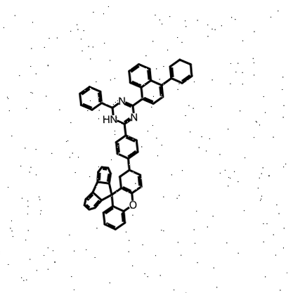 C1=CC(c2ccc(C3=NC(c4ccccc4)NC(c4ccc(C5C=CC6=C(C5)C5(c7ccccc7O6)c6ccccc6-c6ccccc65)cc4)=N3)c3ccccc23)=CCC1